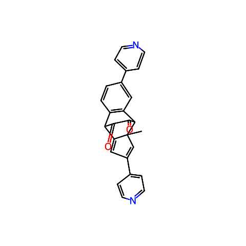 CC12C=C(c3ccncc3)C=C1C1C(=O)C(=O)C2c2cc(-c3ccncc3)ccc21